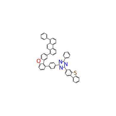 c1ccc(-c2nc(-c3ccc(-c4cccc5oc6ccc(-c7cccc8c7ccc7c(-c9ccccc9)cccc78)cc6c45)cc3)nc(-c3ccc4c(c3)sc3ccccc34)n2)cc1